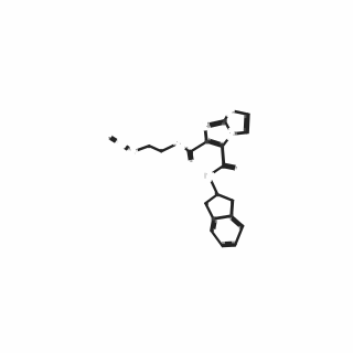 O=C(NCCN=C=S)c1nc2sccn2c1C(=O)NC1Cc2ccccc2C1